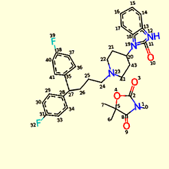 CN1C(=O)OC(C)(C)C1=O.O=c1[nH]c2ccccc2n1C1CCN(CCCC(c2ccc(F)cc2)c2ccc(F)cc2)CC1